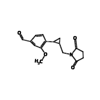 COc1cc(C=O)ccc1C1CC1CN1C(=O)CCC1=O